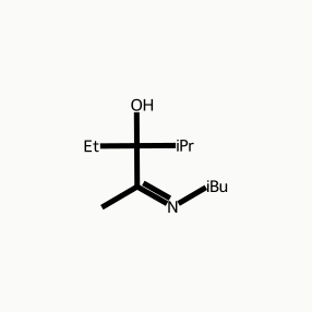 CCC(C)/N=C(/C)C(O)(CC)C(C)C